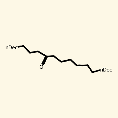 CCCCCCCCCCCCCCC[CH]C(=O)CCCCCCCCCCCCC